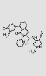 C[C@H](Nc1nc(N)ncc1C#N)c1nc2cccc(-c3ccc(=O)n(C)c3)c2c(=O)n1-c1ccccc1